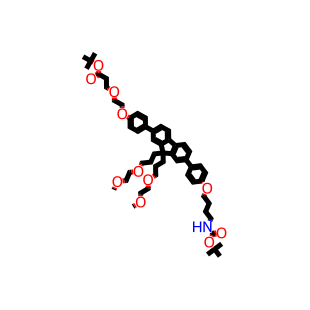 COCCOCCCC1(CCCOCCOC)c2cc(-c3ccc(OCCCCNC(=O)OC(C)(C)C)cc3)ccc2-c2ccc(-c3ccc(OCCOCCC(=O)OC(C)(C)C)cc3)cc21